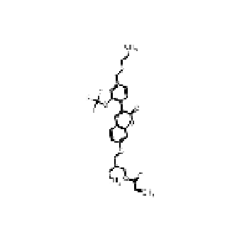 C=CC(=O)OCC(CC)COc1ccc2cc(-c3ccc(CCCCC)cc3OC(F)(F)F)c(=O)oc2c1